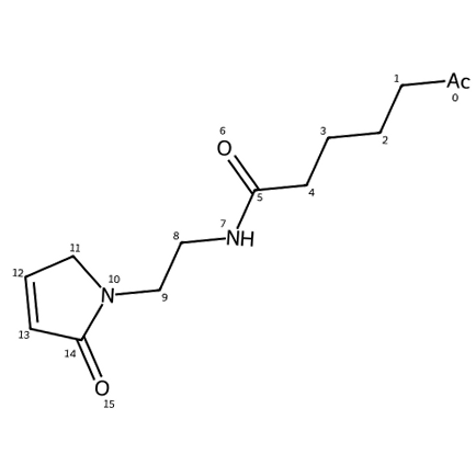 CC(=O)CCCCC(=O)NCCN1CC=CC1=O